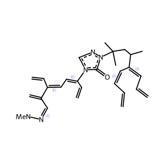 C=C/C=C\C(=C/C=C)C(C)CC(C)(C)n1ncn(/C(C=C)=C/C=C(\C=C)C(=C)/C=N\NC)c1=O